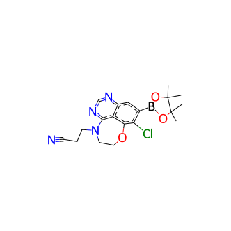 CC1(C)OB(c2cc3ncnc4c3c(c2Cl)OCCN4CCC#N)OC1(C)C